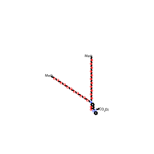 CCOC(=O)CCCn1c(-c2cc3ccc(N(CCOCCOCCOCCOCCOCCOCCOCCOCCOCCOCCOCCOC)CCOCCOCCOCCOCCOCCOCCOCCOCCOCCOCCOCCOC)cc3oc2=O)nc2ccccc21